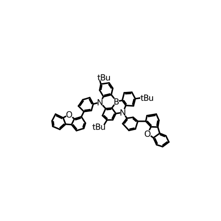 CC(C)(C)c1ccc2c(c1)N(c1cccc(-c3cccc4c3oc3ccccc34)c1)c1cc(C(C)(C)C)cc3c1B2c1ccc(C(C)(C)C)cc1N3c1cccc(-c2cccc3c2oc2ccccc23)c1